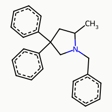 CC1CC(c2ccccc2)(c2ccccc2)CN1Cc1ccccc1